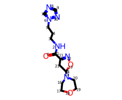 O=C(NCCCn1cncn1)C1=NOC(N2CCOCC2)C1